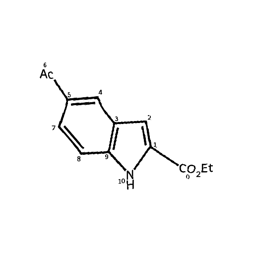 CCOC(=O)c1cc2cc(C(C)=O)ccc2[nH]1